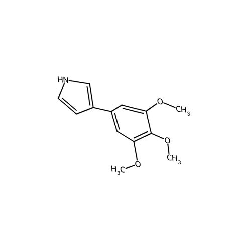 COc1cc(-c2cc[nH]c2)cc(OC)c1OC